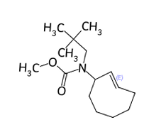 COC(=O)N(CC(C)(C)C)C1/C=C/CCCCC1